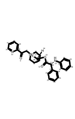 O=C(C[N+]12CCC(CC1)[C@@H](OC(=O)[C@H](Nc1ccccc1)c1ccccc1)C2)c1ccccn1